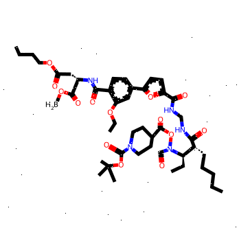 BOC(=O)[C@H](CC(=O)OCCCC)NC(=O)c1ccc(-c2ccc(C(=O)NCNC(=O)[C@H](CCCCC)[C@@H](CC)N(C=O)OC(=O)C3CCN(C(=O)OC(C)(C)C)CC3)o2)cc1OCC